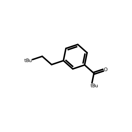 CC(C)(C)CCc1cccc(C(=O)C(C)(C)C)c1